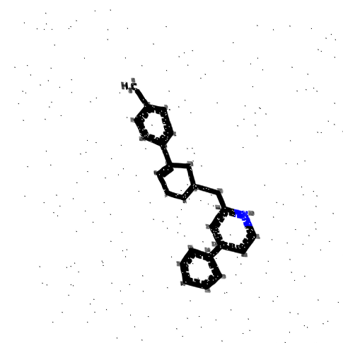 Cc1ccc(C2=CCCC(Cc3cc(-c4ccccc4)ccn3)C2)cc1